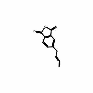 CC=CCc1ccc2c(c1)C(=O)OC2=O